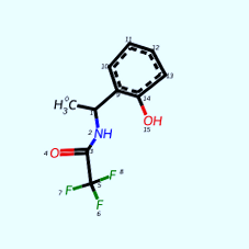 CC(NC(=O)C(F)(F)F)c1ccccc1O